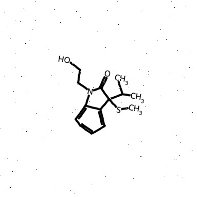 CSC1(C(C)C)C(=O)N(CCO)c2ccccc21